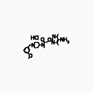 COc1cccc(CN2CCC(N(C)C(=O)COc3nc(C)c(N)c(C)n3)CC2)c1.Cl